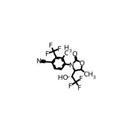 Cc1c(N2C(=O)OC(C)C2[C@@H](O)C(F)(F)F)ccc(C#N)c1C(F)(F)F